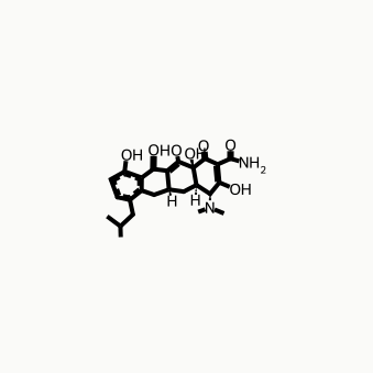 CC(C)Cc1ccc(O)c2c1C[C@@H]1C[C@@H]3[C@@H](N(C)C)C(O)=C(C(N)=O)C(=O)[C@@]3(O)C(O)=C1C2=O